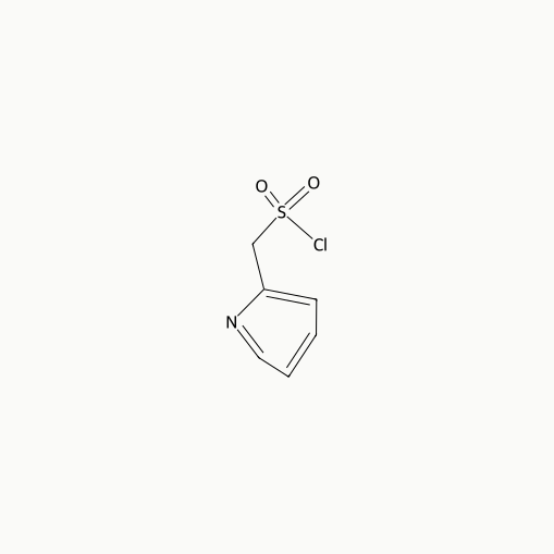 O=S(=O)(Cl)Cc1ccccn1